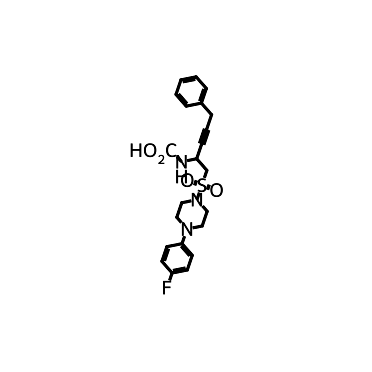 O=C(O)NC(C#CCc1ccccc1)CS(=O)(=O)N1CCN(c2ccc(F)cc2)CC1